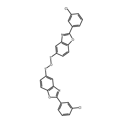 Clc1cccc(-c2nc3cc(SOSc4ccc5oc(-c6cccc(Cl)c6)nc5c4)ccc3o2)c1